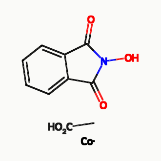 CC(=O)O.O=C1c2ccccc2C(=O)N1O.[Co]